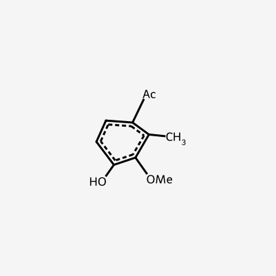 COc1c(O)ccc(C(C)=O)c1C